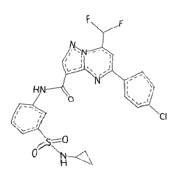 O=C(Nc1cccc(S(=O)(=O)NC2CC2)c1)c1cnn2c(C(F)F)cc(-c3ccc(Cl)cc3)nc12